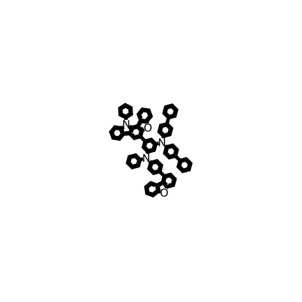 c1ccc(-c2ccc(N(c3ccc(-c4ccccc4)cc3)c3cc(-c4cc5c6ccccc6n(-c6ccccc6)c5c5c4oc4ccccc45)cc(N(c4ccccc4)c4ccc(-c5cccc6oc7ccccc7c56)cc4)c3)cc2)cc1